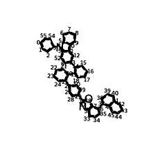 c1ccc(-n2c3ccccc3c3cc(-c4ccccc4-c4ccccc4-c4ccc(-c5nc6cccc(-c7cccc8ccccc78)c6o5)cc4)ccc32)cc1